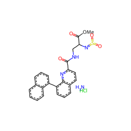 COC(=O)C(CNC(=O)c1ccc2cccc(-c3cccc4ccccc34)c2n1)N=S(=O)=O.Cl.N